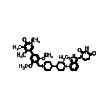 COc1cc(-c2cn(C)c(=O)c(C)c2C)cc(OC)c1CN1CCC(C2CCN(c3cccc4c(N5CCC(=O)NC5=O)nn(C)c34)CC2)CC1